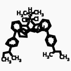 CCC1=Cc2c(-c3ccc(C(C)CC)cc3)cccc2[CH]1[Zr]([Cl])([Cl])([CH]1C(C2CCCC2)=Cc2c(-c3ccc(C(C)CC)cc3)cccc21)[SiH](C)C